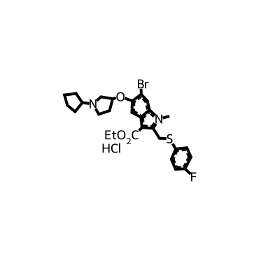 CCOC(=O)c1c(CSc2ccc(F)cc2)n(C)c2cc(Br)c(OC3CCN(C4CCCC4)C3)cc12.Cl